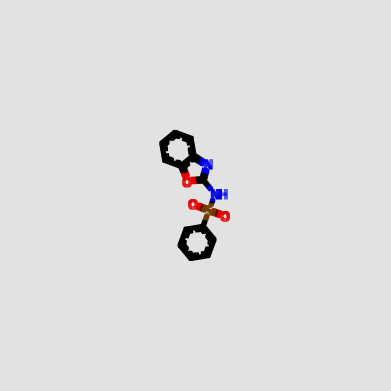 O=S(=O)(Nc1nc2ccccc2o1)c1ccccc1